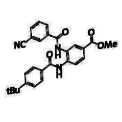 COC(=O)c1ccc(NC(=O)c2ccc(C(C)(C)C)cc2)c(NC(=O)c2cccc(C#N)c2)c1